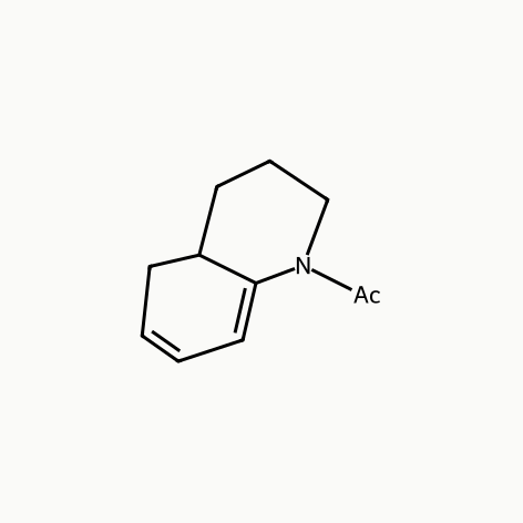 CC(=O)N1CCCC2CC=CC=C21